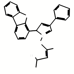 C/C(=C/C(C)O)O[N+]1=CC(c2ccccc2)=CC1c1cccc2c1sc1ccccc12